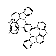 Fc1cc(F)cc(-c2cc(-n3c4ccccc4c4ccc5oc6ccccc6c5c43)c(C(F)(F)F)cc2-n2c3ccccc3c3ccc4oc5ccccc5c4c32)c1